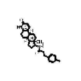 C[C@]12C=CC(=O)NC1CC[C@@H]1[C@H]2CC[C@]2(C)C(NC(=O)CCc3ccc(F)cc3)CC[C@@H]12